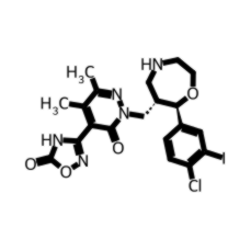 Cc1nn(C[C@@H]2CNCCO[C@H]2c2ccc(Cl)c(I)c2)c(=O)c(-c2noc(=O)[nH]2)c1C